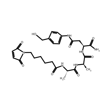 C[C@H](NC(=O)CCCCCN1C(=O)C=CC1=O)C(=O)N[C@H](C)C(=O)N[C@@H](CC(=O)Nc1ccc(CO)cc1)C(N)=O